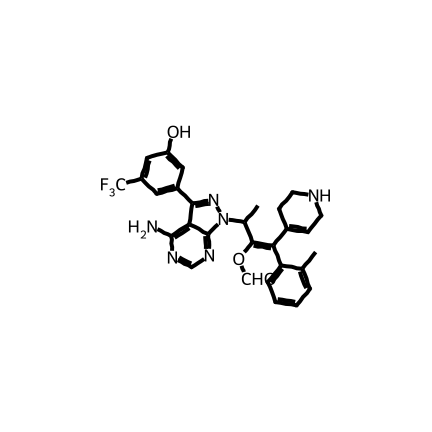 Cc1ccccc1/C(C1=CCNCC1)=C(\OC=O)C(C)n1nc(-c2cc(O)cc(C(F)(F)F)c2)c2c(N)ncnc21